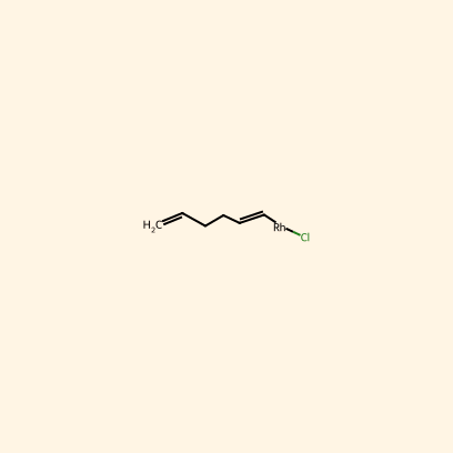 C=CCCC=[CH][Rh][Cl]